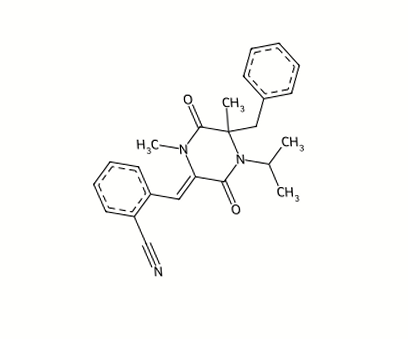 CC(C)N1C(=O)C(=Cc2ccccc2C#N)N(C)C(=O)C1(C)Cc1ccccc1